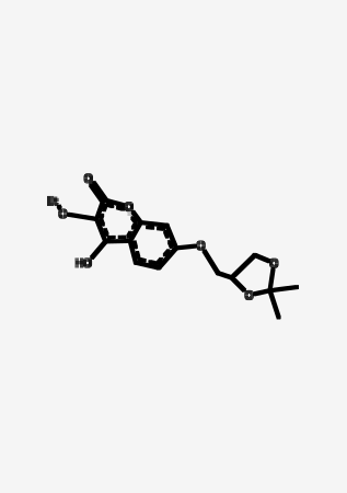 CCOc1c(O)c2ccc(OCC3COC(C)(C)O3)cc2oc1=O